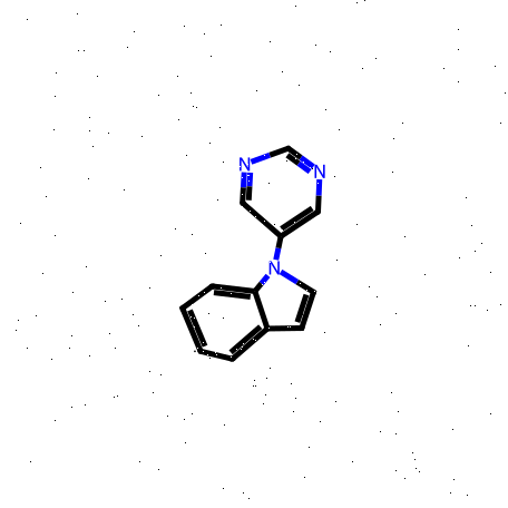 [c]1ccc2c(c1)ccn2-c1cncnc1